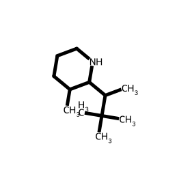 CC1CCCNC1C(C)C(C)(C)C